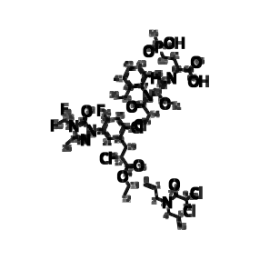 C=CCN(CC=C)C(=O)C(Cl)Cl.CCOC(=O)C(Cl)Cc1cc(-n2nc(C)n(C(F)F)c2=O)c(F)cc1Cl.CCc1cccc(CC)c1N(COC)C(=O)CCl.CP(=O)(O)CCC(N)C(=O)O